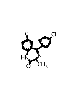 CC1N=C(c2ccc(Cl)cc2)c2cc(Cl)ccc2NC1=O